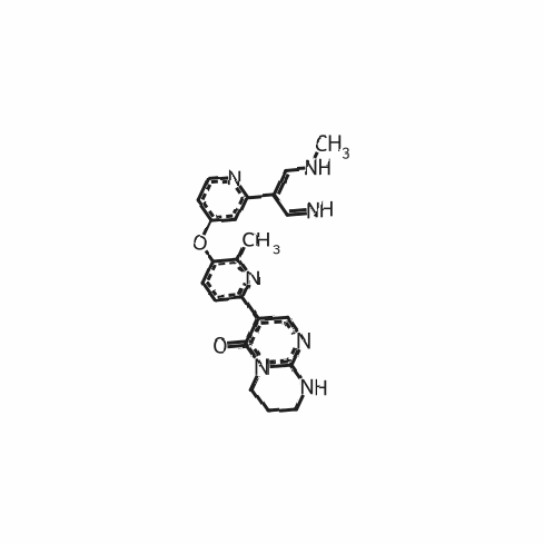 CN/C=C(\C=N)c1cc(Oc2ccc(-c3cnc4n(c3=O)CCCN4)nc2C)ccn1